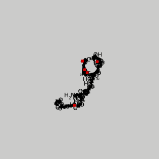 C=C1CC2CC[C@]34C[C@@H](O)C(O3)C3CC(O4)[C@H]4OC(CC[C@@H]4O3)CC(=O)CC3[C@@H](OC)C(CC(O)CNC(=O)OCc4ccc(NC(=O)C(CC(N)=O)NC(=O)[C@H](C)NC(=O)C(C)NC(=O)CCCOCCC(=O)ON5C(=O)CCC5=O)cc4)O[C@H]3C[C@H]3O[C@@H](CCC1O2)C[C@@H](C)C3=C